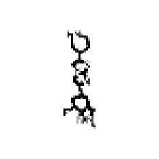 Cn1cc2cc(-c3cn4cc(C5CCNCC5)sc4n3)cc(F)c2n1